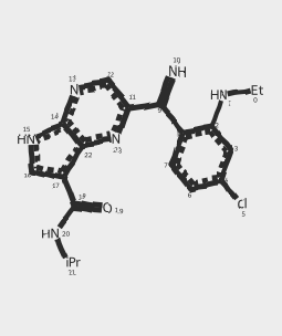 CCNc1cc(Cl)ccc1C(=N)c1cnc2[nH]cc(C(=O)NC(C)C)c2n1